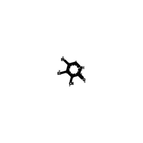 CCc1c[nH]c(=O)c(C#N)c1CC